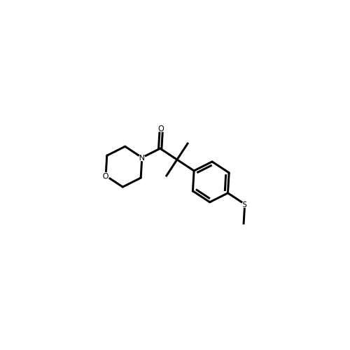 CSc1ccc(C(C)(C)C(=O)N2CCOCC2)cc1